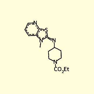 CCOC(=O)N1CCC(N=c2sc3ncccc3n2C)CC1